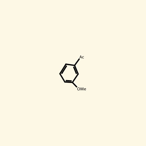 [CH2-][OH+]c1cccc(C(C)=O)c1